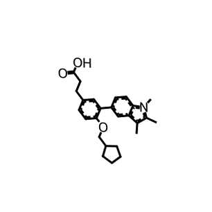 Cc1c(C)n(C)c2ccc(-c3cc(CCC(=O)O)ccc3OCC3CCCC3)cc12